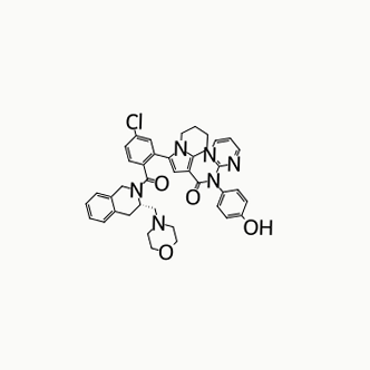 O=C(c1cc(-c2cc(Cl)ccc2C(=O)N2Cc3ccccc3C[C@H]2CN2CCOCC2)n2c1CCCC2)N(c1ccc(O)cc1)c1ncccn1